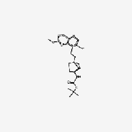 COc1ccc2ncc(F)c(CCC34CCC(NC(=O)OC(C)(C)C)(CC3)C4)c2n1